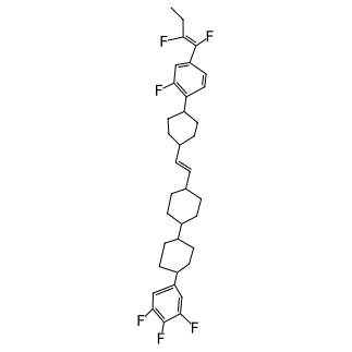 CC/C(F)=C(\F)c1ccc(C2CCC(/C=C/C3CCC(C4CCC(c5cc(F)c(F)c(F)c5)CC4)CC3)CC2)c(F)c1